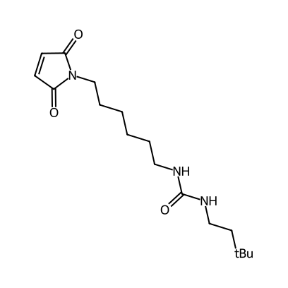 CC(C)(C)CCNC(=O)NCCCCCCN1C(=O)C=CC1=O